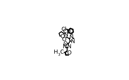 Cc1ccoc1-c1noc(C2N=CN3c4cccc(Cl)c4N(C4(C)CCCO4)C(=O)C23)n1